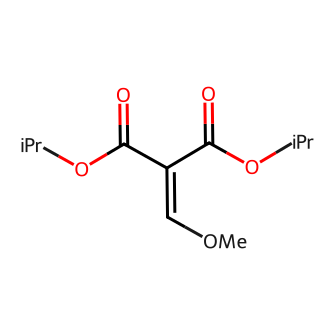 COC=C(C(=O)OC(C)C)C(=O)OC(C)C